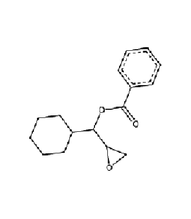 O=C(OC(C1CCCCC1)C1CO1)c1ccccc1